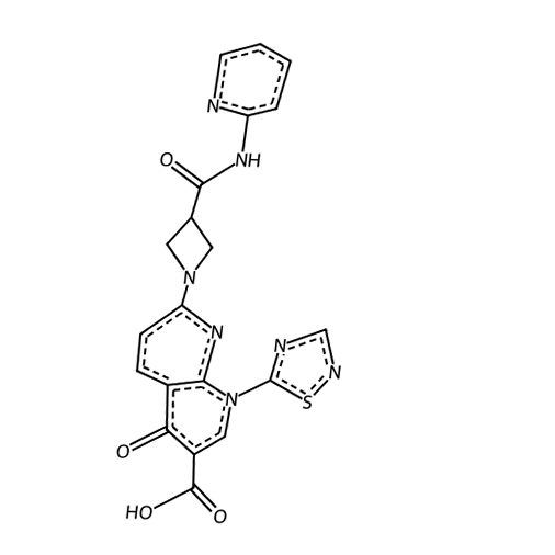 O=C(O)c1cn(-c2ncns2)c2nc(N3CC(C(=O)Nc4ccccn4)C3)ccc2c1=O